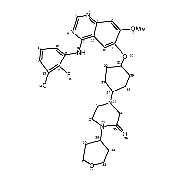 COc1cc2ncnc(Nc3cccc(Cl)c3F)c2cc1OC1CCC(N2CCN(C3CCOCC3)C(=O)C2)CC1